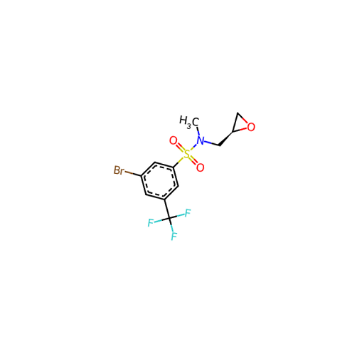 CN(C[C@H]1CO1)S(=O)(=O)c1cc(Br)cc(C(F)(F)F)c1